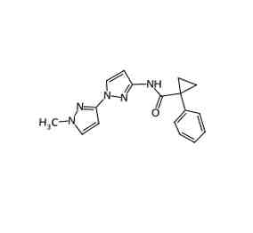 Cn1ccc(-n2ccc(NC(=O)C3(c4ccccc4)CC3)n2)n1